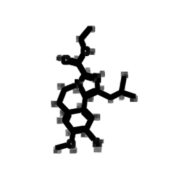 CCOC(=O)c1nc(CC(C)C)c2n1CCc1cc(OC)c(Br)cc1-2